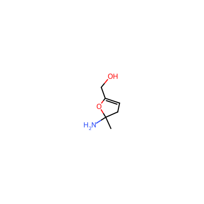 CC1(N)CC=C(CO)O1